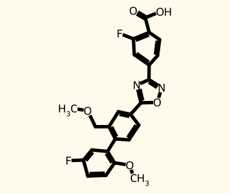 COCc1cc(-c2nc(-c3ccc(C(=O)O)c(F)c3)no2)ccc1-c1cc(F)ccc1OC